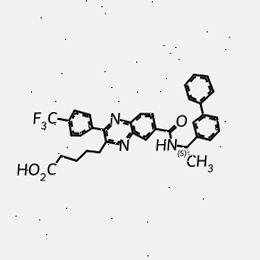 C[C@H](NC(=O)c1ccc2nc(-c3ccc(C(F)(F)F)cc3)c(CCCCC(=O)O)nc2c1)c1cccc(-c2ccccc2)c1